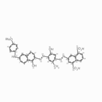 COc1ccc(Nc2ccc3c(O)c(N=Nc4cc(C)c(N=Nc5cc(S(=O)(=O)O)c6cccc(S(=O)(=O)O)c6c5)cc4O)ccc3c2)cc1